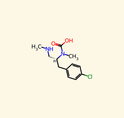 CNC[C@@H](Cc1ccc(Cl)cc1)N(C)C(=O)O